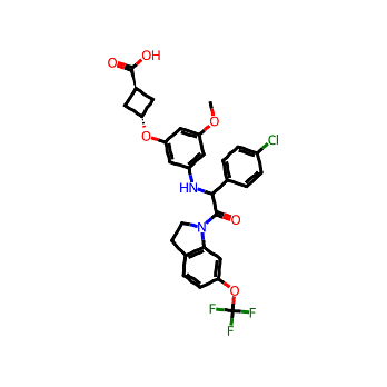 COc1cc(NC(C(=O)N2CCc3ccc(OC(F)(F)F)cc32)c2ccc(Cl)cc2)cc(O[C@H]2C[C@H](C(=O)O)C2)c1